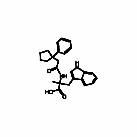 CC(Cc1c[nH]c2ccccc12)(NC(=O)CC1(c2ccccc2)CCCC1)C(=O)O